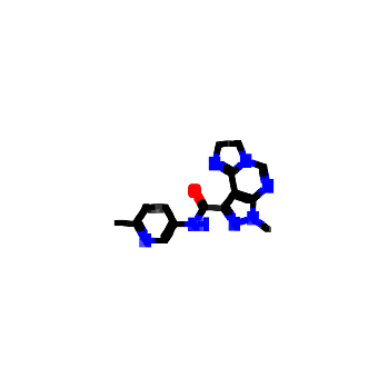 Cc1ccc(NC(=O)c2nn(C)c3c2C2=NCCN2C=N3)cn1